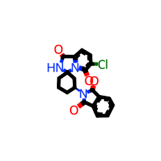 O=C1NC2(CCC[C@H](N3C(=O)c4ccccc4C3=O)C2)n2c1ccc(Cl)c2=O